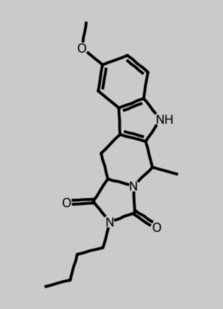 CCCCN1C(=O)C2Cc3c([nH]c4ccc(OC)cc34)C(C)N2C1=O